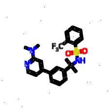 CN(C)c1cc(-c2cccc(C(C)(C)NS(=O)(=O)c3ccccc3C(F)(F)F)c2)ccn1